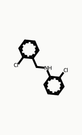 Clc1ccccc1CNc1ccccc1Cl